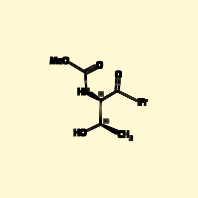 COC(=O)N[C@@H](C(=O)C(C)C)[C@@H](C)O